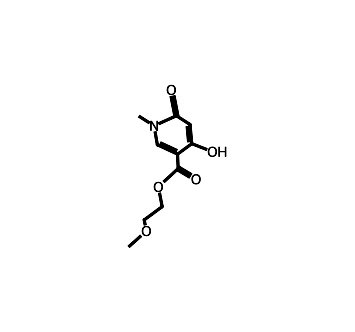 COCCOC(=O)c1cn(C)c(=O)cc1O